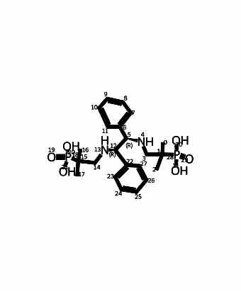 CC(C)(CN[C@H](c1ccccc1)[C@H](NCC(C)(C)P(=O)(O)O)c1ccccc1)P(=O)(O)O